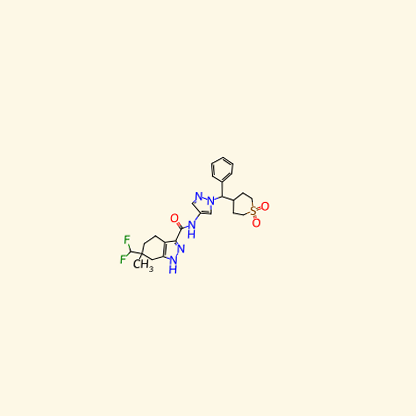 CC1(C(F)F)CCc2c(C(=O)Nc3cnn(C(c4ccccc4)C4CCS(=O)(=O)CC4)c3)n[nH]c2C1